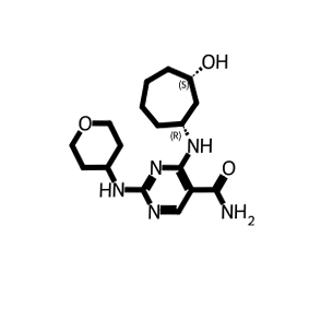 NC(=O)c1cnc(NC2CCOCC2)nc1N[C@@H]1CCCC[C@H](O)C1